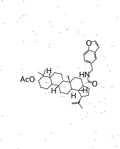 C=C(C)[C@@H]1CC[C@]2(C(=O)NCc3ccc4occc4c3)CC[C@]3(C)[C@H](CC[C@@H]4[C@@]5(C)CC[C@H](OC(C)=O)C(C)(C)[C@@H]5CC[C@]43C)[C@@H]12